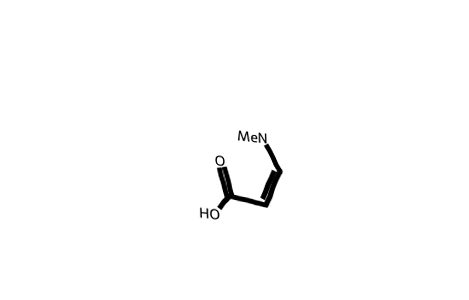 CN/C=C\C(=O)O